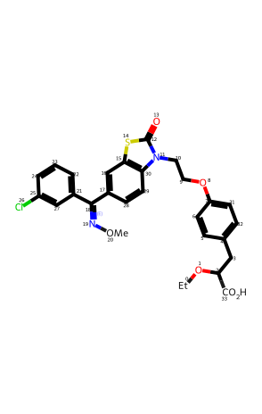 CCOC(Cc1ccc(OCCn2c(=O)sc3cc(/C(=N\OC)c4cccc(Cl)c4)ccc32)cc1)C(=O)O